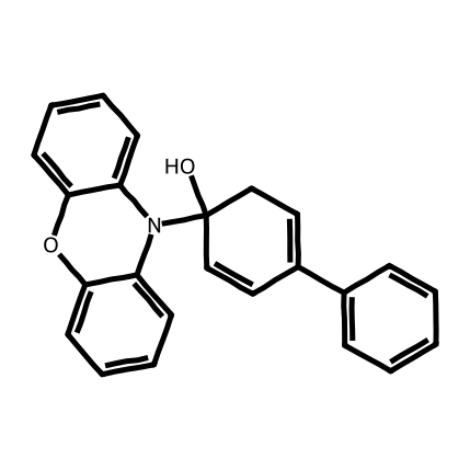 OC1(N2c3ccccc3Oc3ccccc32)C=CC(c2ccccc2)=CC1